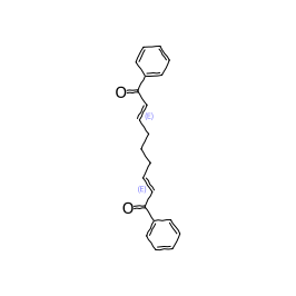 O=C(/C=C/CCC/C=C/C(=O)c1ccccc1)c1ccccc1